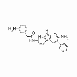 NC(=O)C(=Cc1c[nH]c2nc(NC(=O)Cc3cccc(N)c3)ccc12)c1ccccc1